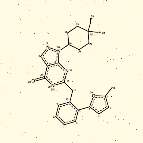 Cc1ccc(-c2ccccc2Cc2nc3c(cnn3C3CCC(F)(F)CC3)c(=O)[nH]2)o1